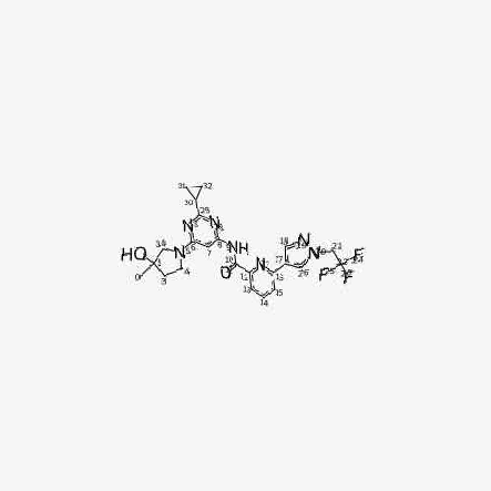 CC1(O)CCN(c2cc(NC(=O)c3cccc(-c4cnn(CC(F)(F)F)c4)n3)nc(C3CC3)n2)C1